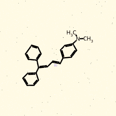 CN(C)c1ccc(/C=C/C=C(c2ccccc2)c2ccccc2)cc1